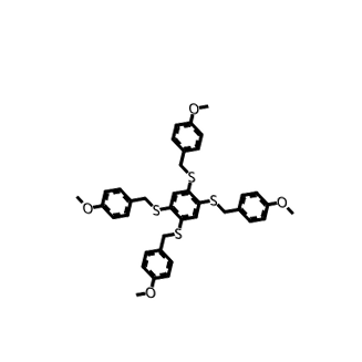 COc1ccc(CSc2cc(SCc3ccc(OC)cc3)c(SCc3ccc(OC)cc3)cc2SCc2ccc(OC)cc2)cc1